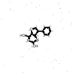 Oc1nc(O)c2occ(-c3ccccc3)c2n1